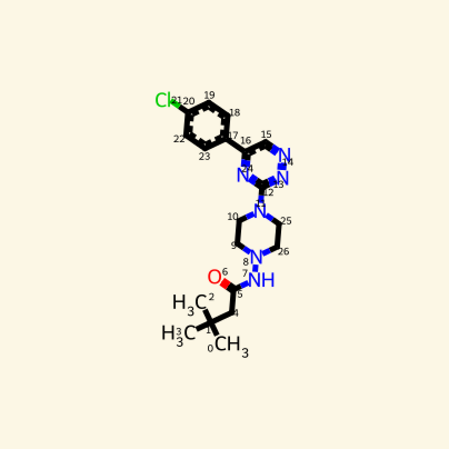 CC(C)(C)CC(=O)NN1CCN(c2nncc(-c3ccc(Cl)cc3)n2)CC1